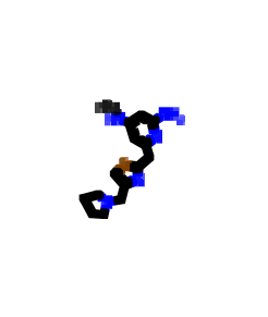 CCCCNc1cc(N)nc(Cc2nc(CN3CCCC3)cs2)c1